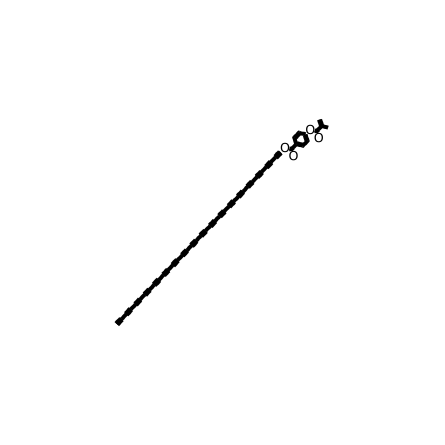 C#CC#CC#CC#CC#CC#CC#CC#CC#CC#CC#CC#CC#CC#CC#CC#CC#CC#COC(=O)c1ccc(OC(=O)C(=C)C)cc1